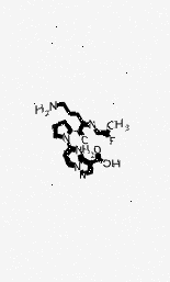 C=C(/C(CCCN)=N\C=C(/C)F)[C@H]1CCCN1c1ccn2ncc(C(=O)O)c2n1